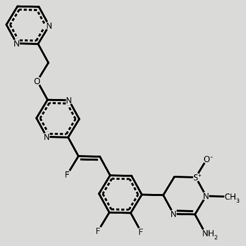 CN1C(N)=NC(c2cc(/C=C(\F)c3cnc(OCc4ncccn4)cn3)cc(F)c2F)C[S+]1[O-]